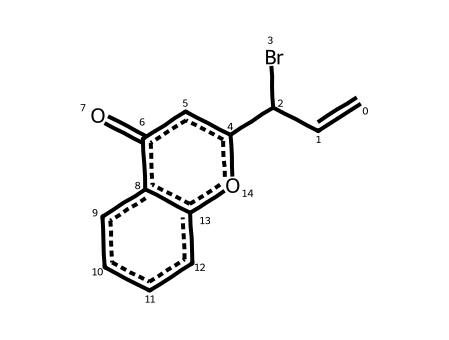 C=CC(Br)c1cc(=O)c2ccccc2o1